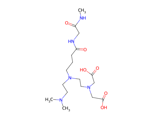 CNC(=O)CNC(=O)CCCN(CCN(C)C)CCN(CC(=O)O)CC(=O)O